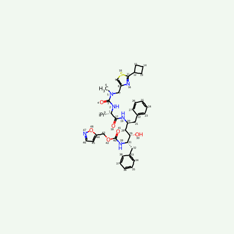 CC(C)[C@H](NC(=O)N(C)Cc1csc(C2CCC2)n1)C(=O)N[C@@H](Cc1ccccc1)C[C@H](O)[C@H](Cc1ccccc1)NC(=O)OCc1ccno1